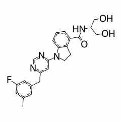 Cc1cc(F)cc(Cc2cc(N3CCc4c(C(=O)NC(CO)CO)cccc43)ncn2)c1